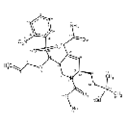 C=CCON(C1CN(C(=O)OC(C)(C)C)[C@H](CO[Si](C)(C)C(C)(C)C)C=C1CC(N)=O)S(=O)(=O)c1ccccc1[N+](=O)[O-]